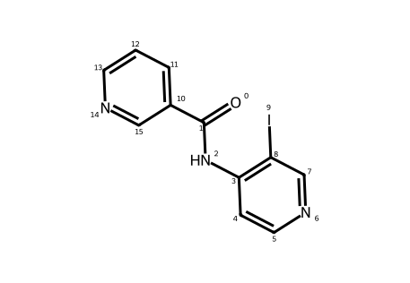 O=C(Nc1ccncc1I)c1cccnc1